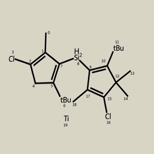 CC1=C(Cl)CC(C(C)(C)C)=C1[SiH2]C1=C(C(C)(C)C)C(C)(C)C(Cl)=C1C.[Ti]